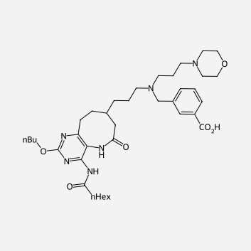 CCCCCCC(=O)Nc1nc(OCCCC)nc2c1NC(=O)CC(CCCN(CCCN1CCOCC1)Cc1cccc(C(=O)O)c1)CC2